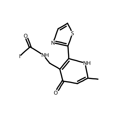 Cc1cc(=O)c(CNC(=O)I)c(-c2nccs2)[nH]1